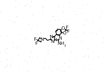 Nc1nc2c3c(ccc2c2nc(CCN4CC(F)(F)C4)nn12)OC(F)(F)O3